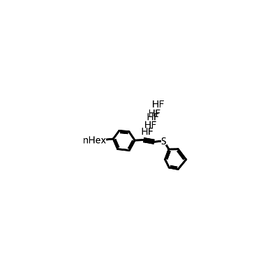 CCCCCCc1ccc(C#CSc2ccccc2)cc1.F.F.F.F.F